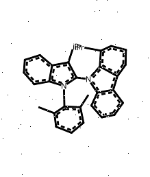 Cc1cccc(C)c1-n1c(-n2c3ccccc3c3cccc(C(C)C)c32)c(C(C)C)c2ccccc21